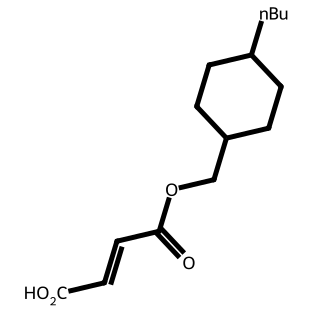 CCCCC1CCC(COC(=O)/C=C/C(=O)O)CC1